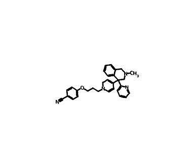 CN1Cc2ccccc2C(C2=CCN(CCCOc3ccc(C#N)cc3)C=C2)(c2ccccn2)C1